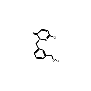 COCc1cccc(Cn2nc(Cl)ccc2=O)c1